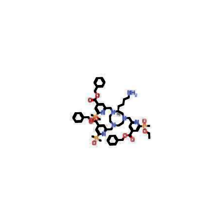 CCOP(C)(=O)c1cc(C(=O)OCc2ccccc2)cc(CN2CCN(Cc3cc(C(=O)OCc4ccccc4)cc(P(C)(C)=O)n3)CCN(Cc3cc(C(=O)OCc4ccccc4)cc(P(C)(C)=O)n3)[C@@H](CCCCN)C2)n1